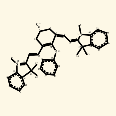 CN1C(=CC=C2CCCC(C=CC3=[N+](C)c4ccccc4C3(C)C)=C2Sc2ccccc2)C(C)(C)c2ccccc21.[Cl-]